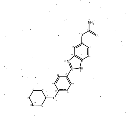 NC(=O)Oc1ccc2[nH]c(-c3ccc(OC4CCCNC4)cc3)nc2c1